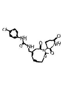 C/C1=N/C/C=C\C=C(\CNC(=O)Nc2ccc(Cl)cc2)CC(=O)N1C1CCC(=O)NC1=O